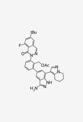 CC(=O)OCc1c(-c2cc(-c3cnn4c3CCCC4)c3[nH]nc(N)c3c2)cccc1-n1ncc2cc(C(C)(C)C)cc(F)c2c1=O